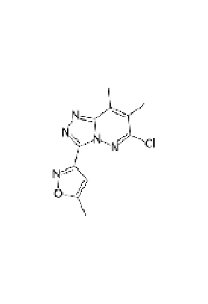 Cc1cc(-c2nnc3c(C)c(C)c(Cl)nn23)no1